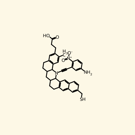 Cc1cc2c(cc1CCC(=O)O)CCC1CC3CCc4cc5cc(CS)ccc5cc4C3N(C#Cc3cc(N)ccc3[N+](=O)[O-])C21